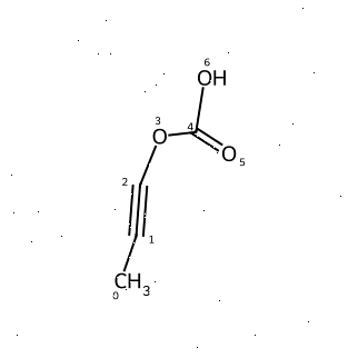 CC#COC(=O)O